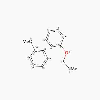 CNCOc1ccccc1.COc1ccccc1